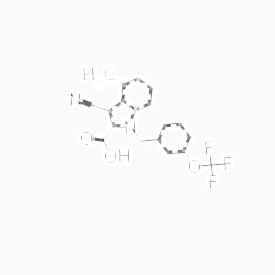 Cc1cccc2c1c(C#N)c(C(=O)O)n2Cc1cccc(OC(F)(F)F)c1